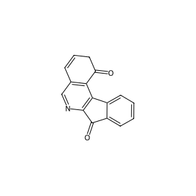 O=C1c2ccccc2-c2c1ncc1c2C(=O)CC=C1